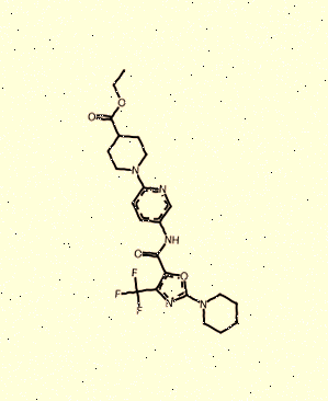 CCOC(=O)C1CCN(c2ccc(NC(=O)c3oc(N4CCCCC4)nc3C(F)(F)F)cn2)CC1